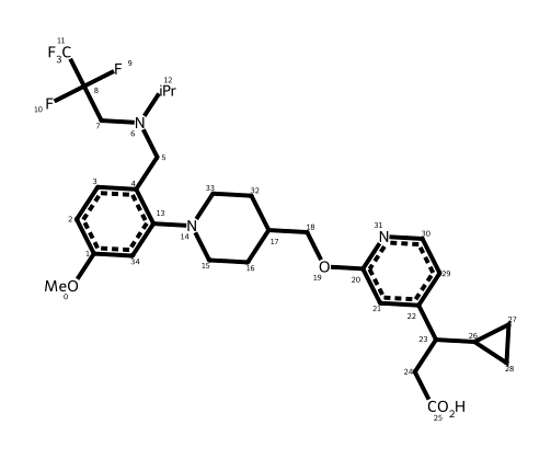 COc1ccc(CN(CC(F)(F)C(F)(F)F)C(C)C)c(N2CCC(COc3cc(C(CC(=O)O)C4CC4)ccn3)CC2)c1